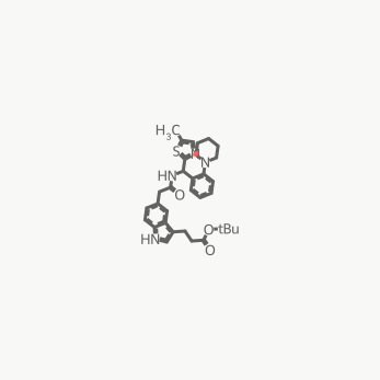 Cc1cnc(C(NC(=O)Cc2ccc3[nH]cc(CCC(=O)OC(C)(C)C)c3c2)c2ccccc2N2CCCCC2)s1